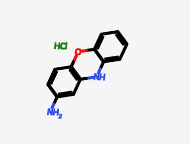 Cl.Nc1ccc2c(c1)Nc1ccccc1O2